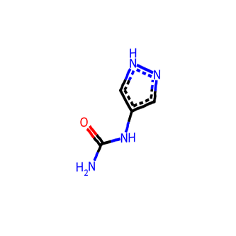 NC(=O)Nc1cn[nH]c1